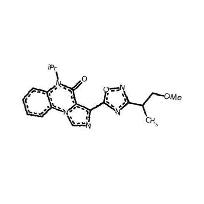 COCC(C)c1noc(-c2ncn3c2c(=O)n(C(C)C)c2ccccc23)n1